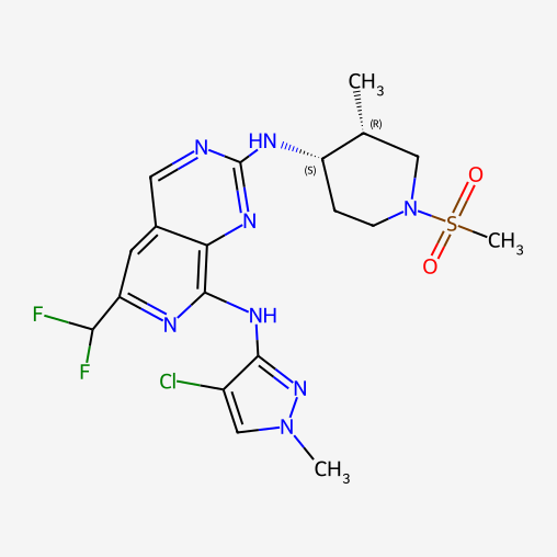 C[C@@H]1CN(S(C)(=O)=O)CC[C@@H]1Nc1ncc2cc(C(F)F)nc(Nc3nn(C)cc3Cl)c2n1